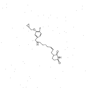 C[C@@H](NCCCC/C=C\CC1CCC(=O)NC1=O)c1ccc(F)c(OCC2CC2)c1